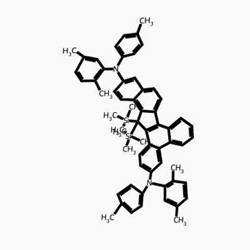 Cc1ccc(N(c2ccc3c4c(ccc3c2)-c2c(c3ccc(N(c5ccc(C)cc5)c5cc(C)ccc5C)cc3c3ccccc23)C4([Si](C)(C)C)[Si](C)(C)C)c2cc(C)ccc2C)cc1